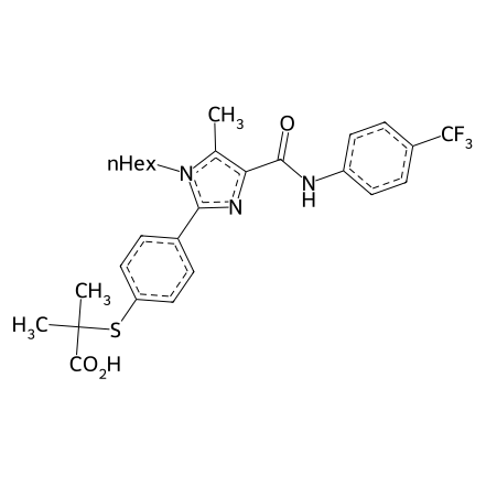 CCCCCCn1c(-c2ccc(SC(C)(C)C(=O)O)cc2)nc(C(=O)Nc2ccc(C(F)(F)F)cc2)c1C